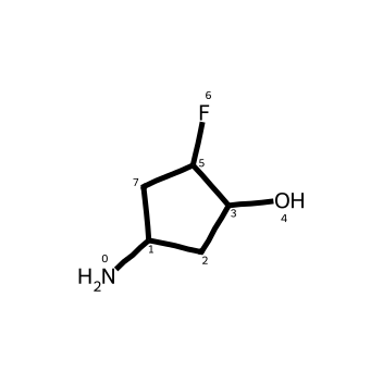 NC1CC(O)C(F)C1